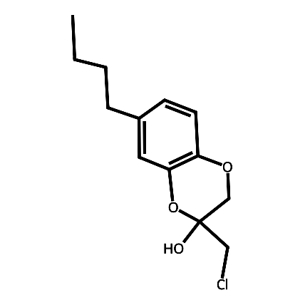 CCCCc1ccc2c(c1)OC(O)(CCl)CO2